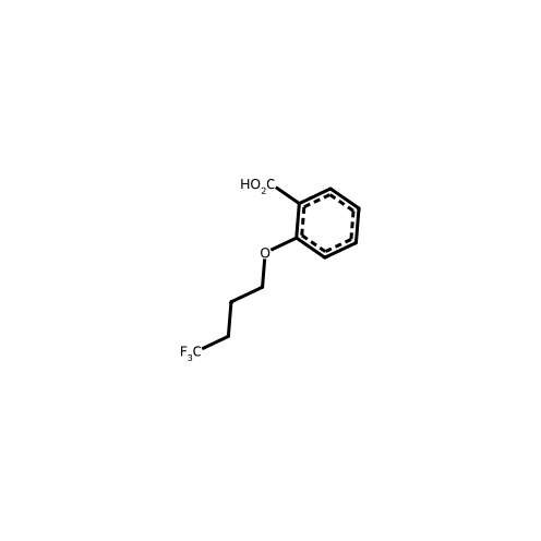 O=C(O)c1ccccc1OCCCC(F)(F)F